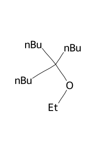 CCCCC(CCCC)(CCCC)OCC